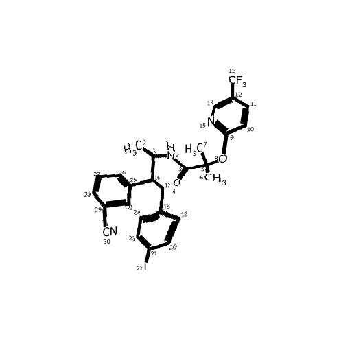 CC(NC(=O)C(C)(C)Oc1ccc(C(F)(F)F)cn1)C(Cc1ccc(I)cc1)c1cccc(C#N)c1